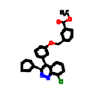 COC(=O)c1cccc(COc2cccc(-c3c(-c4ccccc4)nnc4c(Cl)cccc34)c2)c1